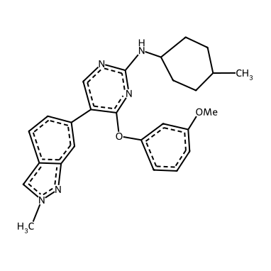 COc1cccc(Oc2nc(NC3CCC(C)CC3)ncc2-c2ccc3cn(C)nc3c2)c1